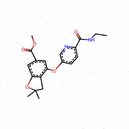 CCNC(=O)c1ccc(Oc2cc(C(=O)OC)cc3c2CC(C)(C)O3)cn1